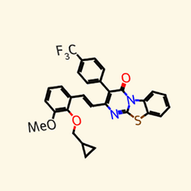 COc1cccc(C=Cc2nc3sc4ccccc4n3c(=O)c2-c2ccc(C(F)(F)F)cc2)c1OCC1CC1